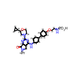 CC(C)N1Cc2c(Nc3ccc(-c4ccc(OCCNC(=O)O)cc4)cc3)nc(N3CCOC(C4CC4)C3)nc2C1=O